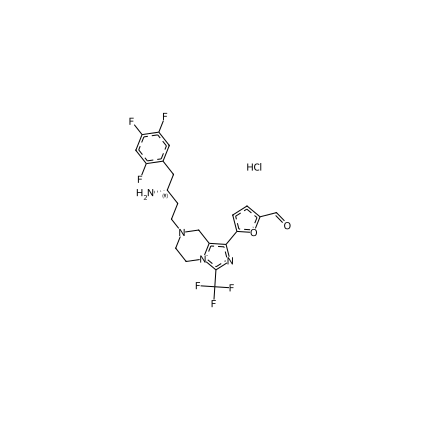 Cl.N[C@@H](CCN1CCn2c(C(F)(F)F)nc(-c3ccc(C=O)o3)c2C1)Cc1cc(F)c(F)cc1F